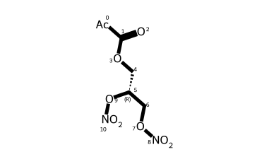 CC(=O)C(=O)OC[C@H](CO[N+](=O)[O-])O[N+](=O)[O-]